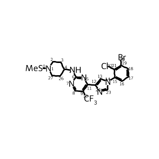 CSN1CCC(Nc2ncc(C(F)(F)F)c(-c3cn(-c4cccc(Br)c4Cl)cn3)n2)CC1